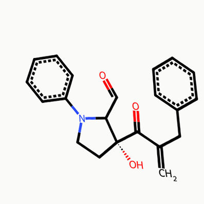 C=C(Cc1ccccc1)C(=O)[C@@]1(O)CCN(c2ccccc2)C1C=O